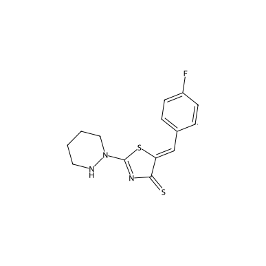 Fc1c[c]c(/C=C2\SC(N3CCCCN3)=NC2=S)cc1